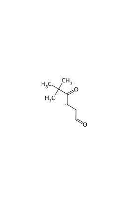 CC(C)(C)C(=O)[CH]CC=O